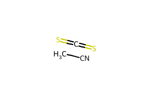 CC#N.S=C=S